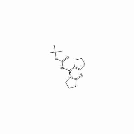 CC(C)(C)OC(=O)Nc1c2c(nc3c1CCC3)CCC2